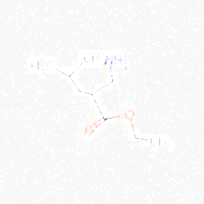 CCOC(=O)C(CN)CC(C)C